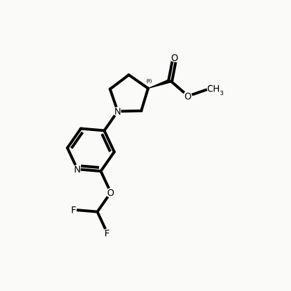 COC(=O)[C@@H]1CCN(c2ccnc(OC(F)F)c2)C1